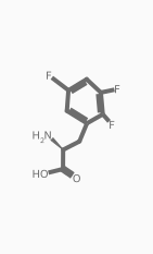 N[C@@H](Cc1cc(F)cc(F)c1F)C(=O)O